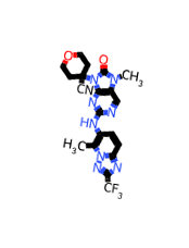 Cc1c(Nc2ncc3c(n2)n(C2(C#N)CCOCC2)c(=O)n3C)ccc2nc(C(F)(F)F)nn12